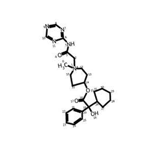 C[N+]1(CC(=O)Nc2ncncn2)CCC(OC(=O)C(O)(c2ccccc2)C2CCCCC2)CC1